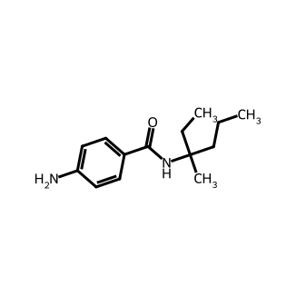 CCCC(C)(CC)NC(=O)c1ccc(N)cc1